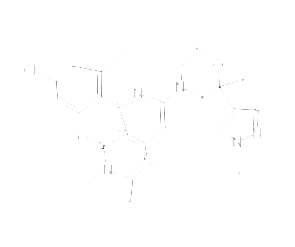 Cc1nc2cc(N3CC(C)(c4cnn(C)c4)OC[C@H]3C)nc(-c3ccc(Cl)cc3F)c2c(=O)n1C